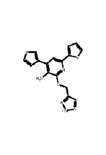 Nc1c(-c2ccoc2)cc(-c2cccs2)nc1OCc1nn[nH]n1